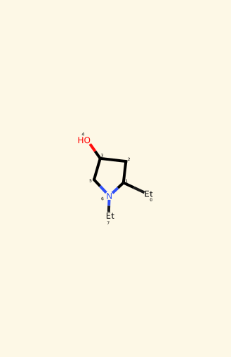 [CH2]CC1CC(O)CN1CC